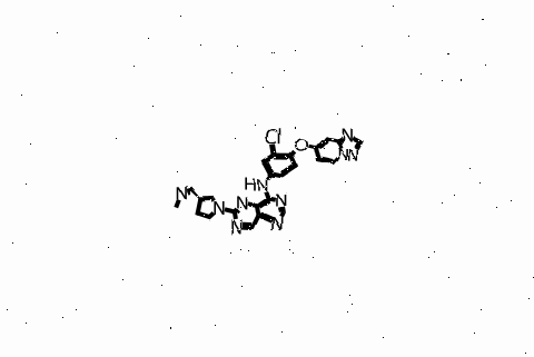 C/N=C\[C@@H]1CCN(c2ncc3ncnc(Nc4ccc(Oc5ccn6ncnc6c5)c(Cl)c4)c3n2)C1